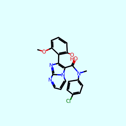 COc1cccc(O)c1-c1nc2ncccn2c1C(=O)N(C)c1ccc(Cl)cc1